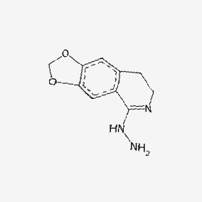 NNC1=NCCc2cc3c(cc21)OCO3